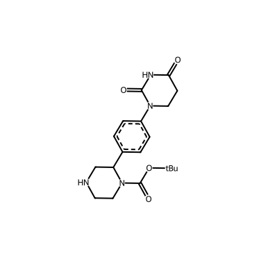 CC(C)(C)OC(=O)N1CCNCC1c1ccc(N2CCC(=O)NC2=O)cc1